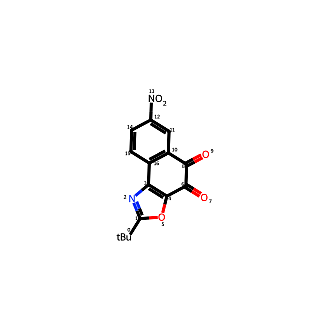 CC(C)(C)c1nc2c(o1)C(=O)C(=O)c1cc([N+](=O)[O-])ccc1-2